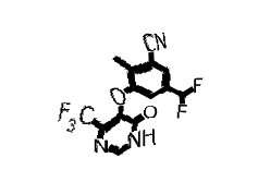 Cc1c(C#N)cc(C(F)F)cc1Oc1c(C(F)(F)F)nc[nH]c1=O